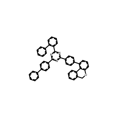 c1ccc(-c2ccc(-c3nc(-c4ccc(-c5cccc6c5-c5ccccc5CO6)cc4)nc(-c4ccccc4-c4ccccc4)n3)cc2)cc1